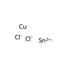 [Cl-].[Cl-].[Cu].[Sn+2]